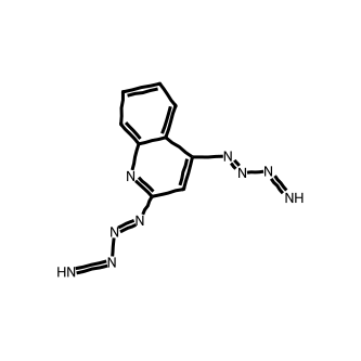 N=NN=Nc1cc(N=NN=N)c2ccccc2n1